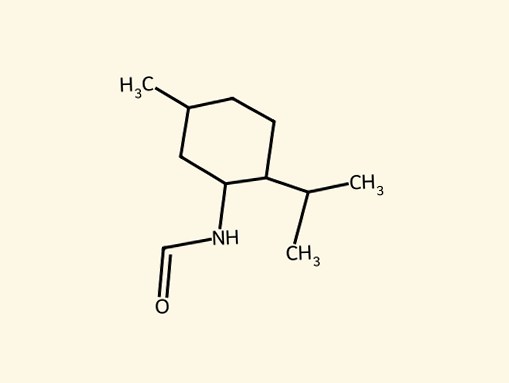 CC1CCC(C(C)C)C(NC=O)C1